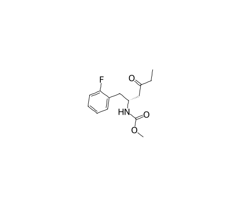 CCC(=O)C[C@@H](Cc1ccccc1F)NC(=O)OC